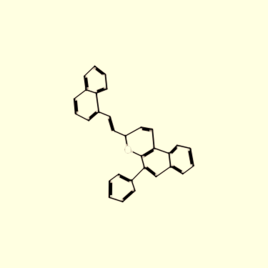 C(=CC1C=Cc2c(c(-c3ccccc3)cc3ccccc23)O1)c1cccc2ccccc12